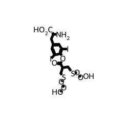 NC(Cc1cc(I)c(OC(=O)C(CSOOO)CSOOO)c(I)c1)C(=O)O